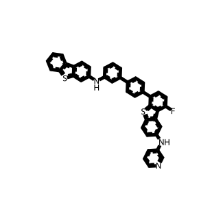 Fc1ccc(-c2ccc(-c3cccc(Nc4ccc5c(c4)sc4ccccc45)c3)cc2)c2sc3ccc(Nc4cccnc4)cc3c12